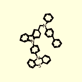 C1=CC2Sc3ccccc3N(c3ccc(-n4c5c(c6ccccc64)=CC(CN(c4ccccc4)c4ccc(-c6ccccc6)cc4)CC=5)cc3)C2C=C1